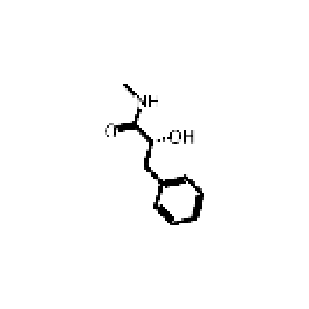 CNC(=O)[C@H](O)Cc1ccccc1